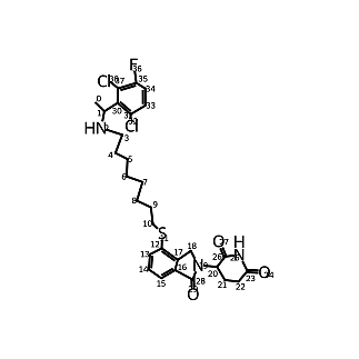 CC(NCCCCCCCCSc1cccc2c1CN(C1CCC(=O)NC1=O)C2=O)c1c(Cl)ccc(F)c1Cl